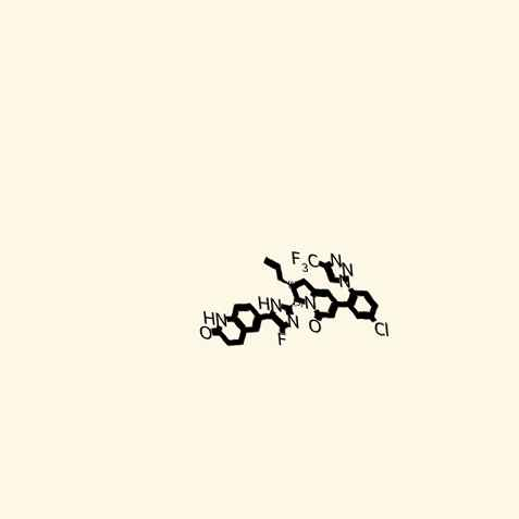 C=CC[C@H]1Cc2cc(-c3cc(Cl)ccc3-n3cc(C(F)(F)F)nn3)cc(=O)n2[C@@H]1c1nc(F)c(-c2ccc3c(c2)CCC(=O)N3)[nH]1